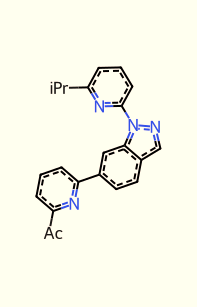 CC(=O)c1cccc(-c2ccc3cnn(-c4cccc(C(C)C)n4)c3c2)n1